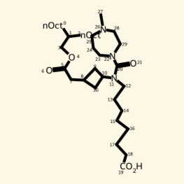 CCCCCCCCC(CCCCCCCC)COC(=O)CC1CC(N(CCCCCCCC(=O)O)C(=O)N2CCCN(C)CC2)C1